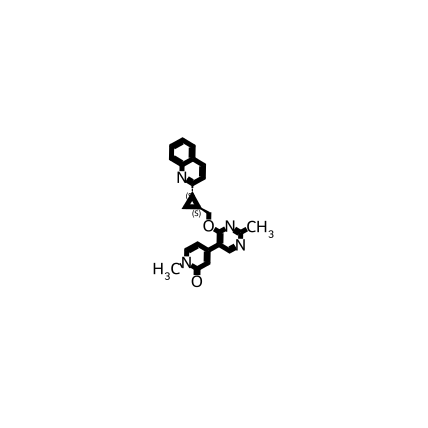 Cc1ncc(-c2ccn(C)c(=O)c2)c(OC[C@H]2C[C@@H]2c2ccc3ccccc3n2)n1